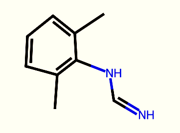 Cc1cccc(C)c1NC=N